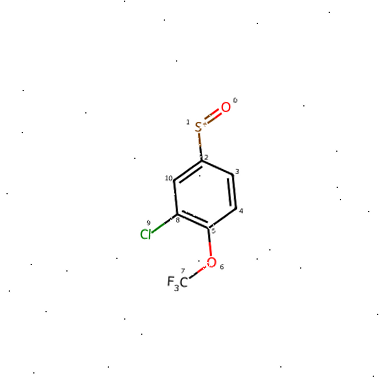 O=[S+]c1ccc(OC(F)(F)F)c(Cl)c1